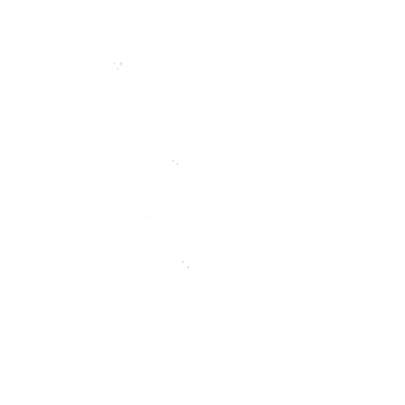 CC/C(=N\OCCOC)c1cc(Cl)ccc1NS(=O)(=O)C(F)(F)F